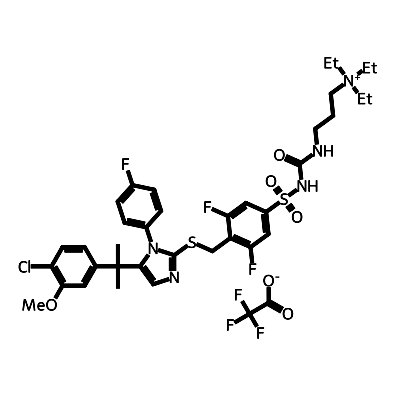 CC[N+](CC)(CC)CCCNC(=O)NS(=O)(=O)c1cc(F)c(CSc2ncc(C(C)(C)c3ccc(Cl)c(OC)c3)n2-c2ccc(F)cc2)c(F)c1.O=C([O-])C(F)(F)F